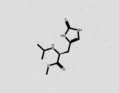 COC(=O)[C@H](Cc1c[nH]c(=S)[nH]1)NC(C)C